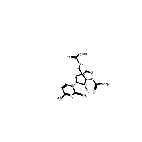 C=C1N=C(N)C=CN1[C@@H]1O[C@](CCl)(COC(=O)CCCCCCC)[C@@H](OC(=O)CCCCCCC)[C@H]1F